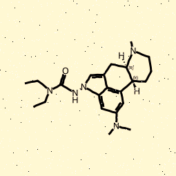 CCN(CC)C(=O)Nn1cc2c3c(cc(N(C)C)cc31)[C@H]1CCCN(C)[C@@H]1C2